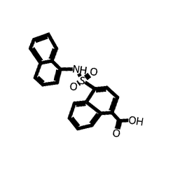 O=C(O)c1ccc(S(=O)(=O)Nc2cccc3ccccc23)c2ccccc12